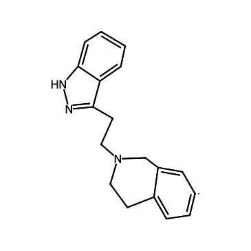 [c]1ccc2c(c1)CN(CCc1n[nH]c3ccccc13)CC2